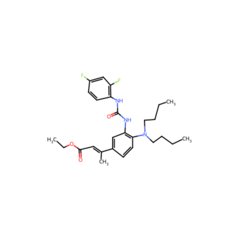 CCCCN(CCCC)c1ccc(/C(C)=C/C(=O)OCC)cc1NC(=O)Nc1ccc(F)cc1F